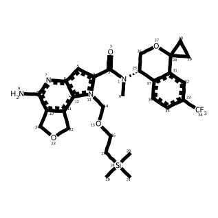 CN(C(=O)c1cc2nc(N)c3c(c2n1COCC[Si](C)(C)C)COC3)[C@@H]1COC2(CC2)c2cc(C(F)(F)F)ccc21